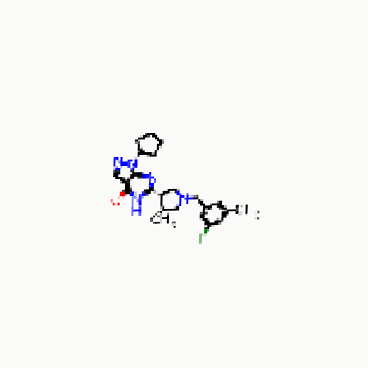 Cc1cc(F)cc(CN2C[C@@H](C)[C@H](c3nc4c(cnn4C4CCCC4)c(=O)[nH]3)C2)c1